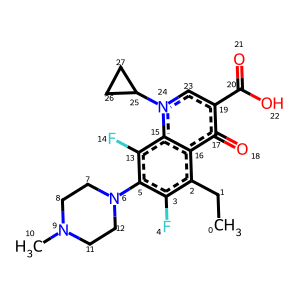 CCc1c(F)c(N2CCN(C)CC2)c(F)c2c1c(=O)c(C(=O)O)cn2C1CC1